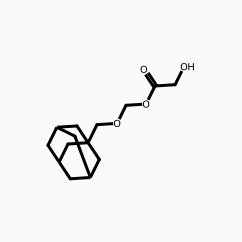 O=C(CO)OCOCC12CC3CC(CC(C3)C1)C2